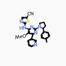 COc1c(Nc2ncc(C#N)s2)nc(N2CCCC2c2ccc(C)cc2)nc1-c1cccnc1